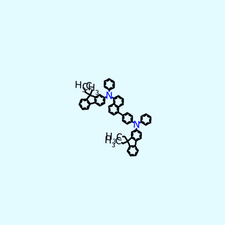 CCC1(CC)c2ccccc2-c2ccc(N(c3ccccc3)c3ccc(-c4cccc5c(N(c6ccccc6)c6ccc7c(c6)C(CC)(CC)c6ccccc6-7)cccc45)cc3)cc21